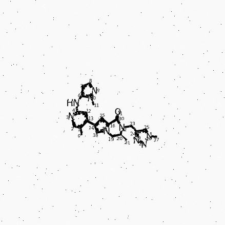 Cc1cnc(Nc2ccnn2C)cc1-c1cc2n(c1)C[C@H](C)N(Cc1cn(C)nn1)C2=O